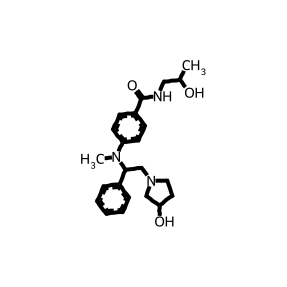 CC(O)CNC(=O)c1ccc(N(C)C(CN2CCC(O)C2)c2ccccc2)cc1